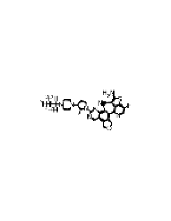 [2H]C([2H])([2H])C([2H])([2H])N1CCN([C@H]2CCN(c3ncc4c5c(c(-c6ncc(F)c7sc(N)c(C#N)c67)c(F)c4n3)COC5)[C@H]2C)CC1